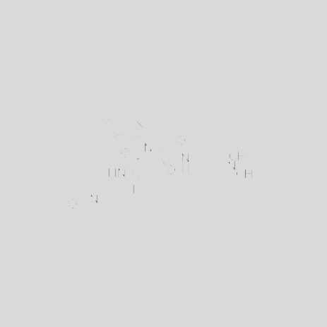 CN(C)CCCCNC(=O)c1cn2c3c(c(NCCCN4CCOCC4)c(F)cc3c1=O)Oc1c-2ccc2ccccc12